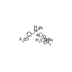 CC(C)CN[C@H](CN1CC[C@H](O[Si](C)(C)C(C)(C)C)C1)c1cccc(OC(F)(F)F)c1